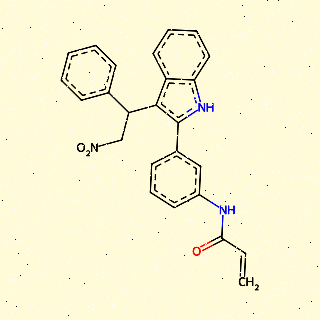 C=CC(=O)Nc1cccc(-c2[nH]c3ccccc3c2C(C[N+](=O)[O-])c2ccccc2)c1